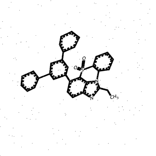 CCc1nc2ccc(-c3cc(-c4ccccc4)cc(-c4ccccc4)c3)c3c2n1-c1ccccc1S3(=O)=O